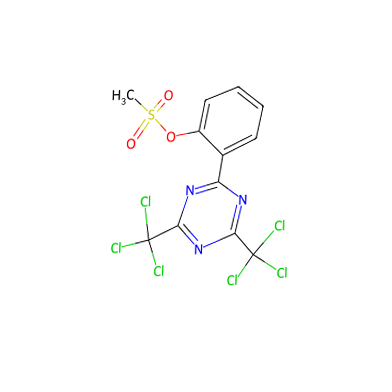 CS(=O)(=O)Oc1ccccc1-c1nc(C(Cl)(Cl)Cl)nc(C(Cl)(Cl)Cl)n1